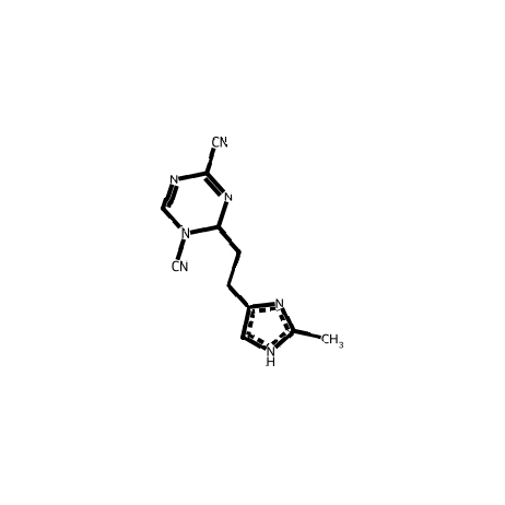 Cc1nc(CCC2N=C(C#N)N=CN2C#N)c[nH]1